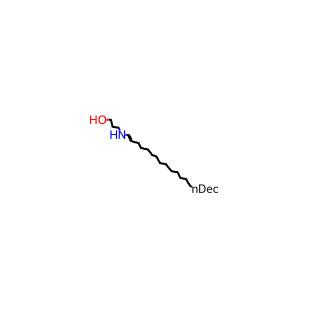 CCCCCCCCCCCCCCCCCCCCCCC=CNCCCO